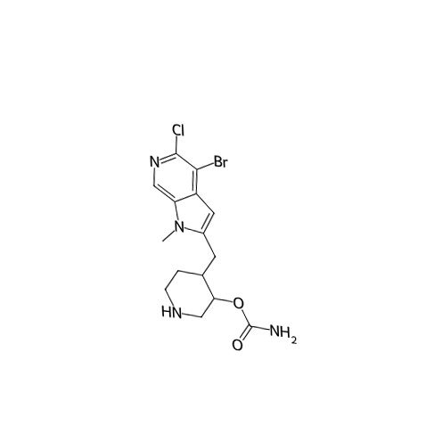 Cn1c(CC2CCNCC2OC(N)=O)cc2c(Br)c(Cl)ncc21